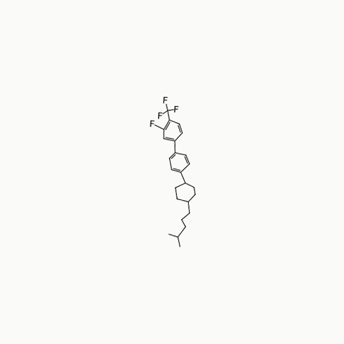 CC(C)CCCC1CCC(c2ccc(-c3ccc(C(F)(F)F)c(F)c3)cc2)CC1